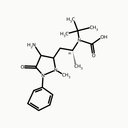 C[C@H](CC1C(N)C(=O)N(c2ccccc2)N1C)N(C(=O)O)C(C)(C)C